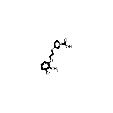 Cc1c(Br)cccc1OCCC[C@@H]1CCN(C(=O)O)C1